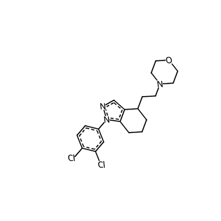 Clc1ccc(-n2ncc3c2CCCC3CCN2CCOCC2)cc1Cl